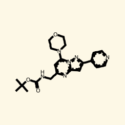 CC(C)(C)OC(=O)NCc1cc(N2CCOCC2)n2nc(-c3ccncc3)cc2n1